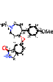 CCCN1CCC(Oc2ccc3c(c2)C(=O)NC3)C(c2ccc(OC)cc2)CC1